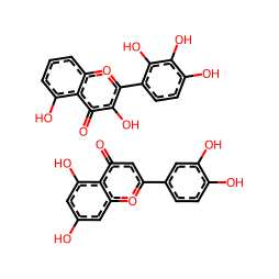 O=c1c(O)c(-c2ccc(O)c(O)c2O)oc2cccc(O)c12.O=c1cc(-c2ccc(O)c(O)c2)oc2cc(O)cc(O)c12